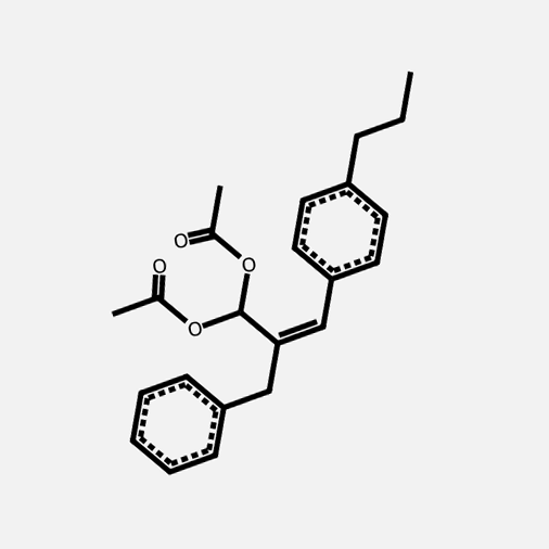 CCCc1ccc(C=C(Cc2ccccc2)C(OC(C)=O)OC(C)=O)cc1